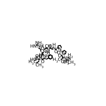 CC(C)C[C@H](NC(=O)[C@H](Cc1ccccc1)NC(=O)[C@H](CCCNC(=N)N)NC(=O)[C@H](C)NC(=O)CNC(=O)[C@@H]1CCCN1C(=O)[C@@H]1CCCN1C(=O)[C@@H](NC(=O)[C@H](C)N)C(C)C)B(O)O